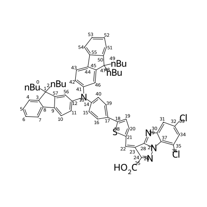 CCCCC1(CCCC)c2ccccc2-c2ccc(N(c3ccc(-c4ccc(/C=c5/c(C(=O)O)nn6c5nc5cc(Cl)cc(Cl)c56)s4)cc3)c3ccc4c(c3)C(CCCC)(CCCC)c3ccccc3-4)cc21